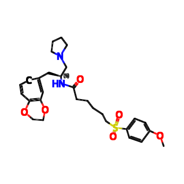 COc1ccc(S(=O)(=O)CCCCCC(=O)N[C@@H](CC2=CC3=C(C=CC2)OCCO3)CN2CCCC2)cc1